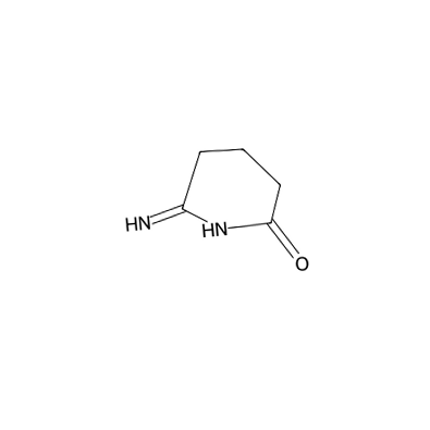 N=C1CCCC(=O)N1